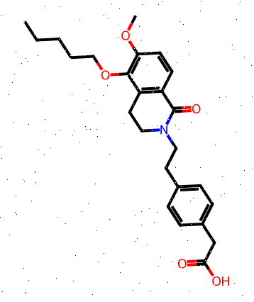 CCCCCOc1c(OC)ccc2c1CCN(CCc1ccc(CC(=O)O)cc1)C2=O